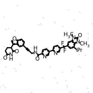 CC(C)c1cc(C(F)(F)c2ccc(-c3ccc(C(=O)NCC#Cc4ccc5occ(C6CCC(=O)NC6=O)c5c4)nc3)nc2)cc2c1n(C)c(=O)n2C